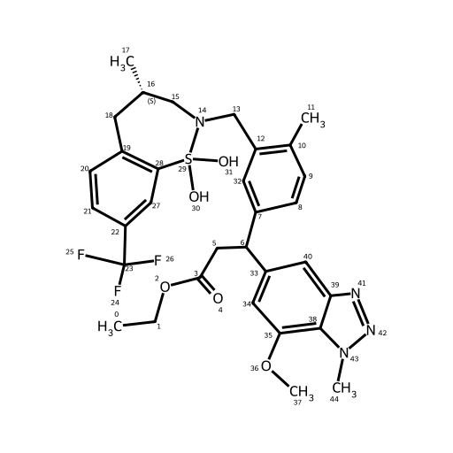 CCOC(=O)CC(c1ccc(C)c(CN2C[C@@H](C)Cc3ccc(C(F)(F)F)cc3S2(O)O)c1)c1cc(OC)c2c(c1)nnn2C